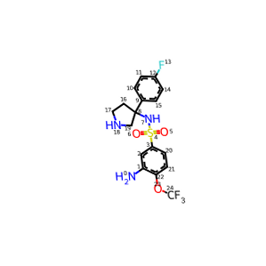 Nc1cc(S(=O)(=O)NC2(c3ccc(F)cc3)CCNC2)ccc1OC(F)(F)F